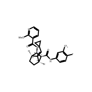 COc1ncccc1C(=O)N[C@H]1[C@@H](C(=O)Nc2ccc(F)c(C(F)(F)F)c2)[C@H]2CC[C@@H]1/C2=C\C1CC1